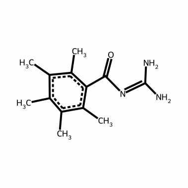 Cc1c(C)c(C)c(C(=O)N=C(N)N)c(C)c1C